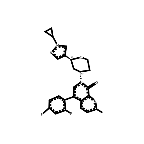 Cc1ccc2c(-c3ccc(F)cc3F)cn([C@H]3CCO[C@H](c4cnn(C5CC5)c4)C3)c(=O)c2n1